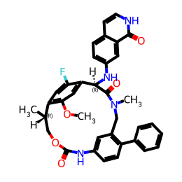 COc1cc2c(F)cc1[C@@H](C)COC(=O)Nc1ccc(-c3ccccc3)c(c1)CN(C)C(=O)[C@@H]2Nc1ccc2cc[nH]c(=O)c2c1